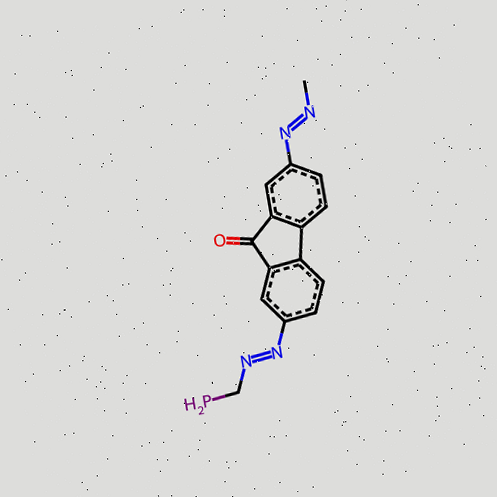 CN=Nc1ccc2c(c1)C(=O)c1cc(N=NCP)ccc1-2